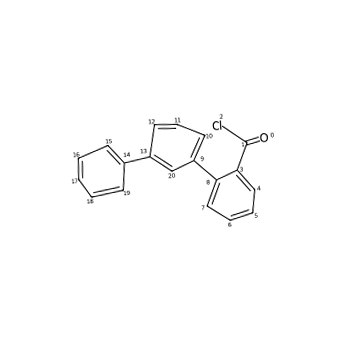 O=C(Cl)c1ccccc1-c1cccc(-c2ccccc2)c1